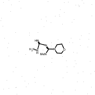 CN/C(=N\C(=N)NN)N1CCOCC1